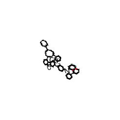 C/C1=C(\c2cccc3oc4cc(-c5ccc(N(c6ccccc6)c6ccccc6-c6ccccc6)cc5)ccc4c23)C/C=C(/C2=CCCC=C2)C=C=C1c1ccccc1